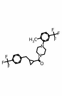 Cc1ccc(C(F)(F)F)cc1N1CCN(C(=O)C2CC2Cc2ccc(C(F)(F)F)cc2)CC1